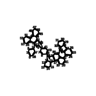 c1ccc(-n2c(-c3ccc(-n4c5ccccc5c5c6cccc7c8cccc9c%10ccccc%10n(c(cc54)c76)c89)cc3)nc3c4ccccc4c4ccccc4c32)cc1